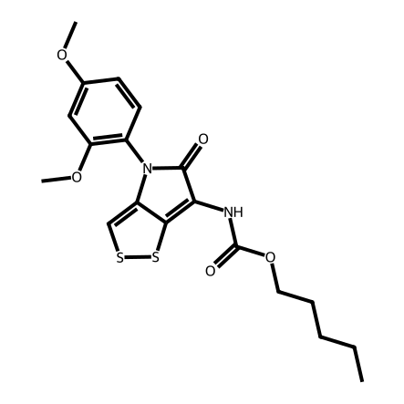 CCCCCOC(=O)Nc1c2sscc-2n(-c2ccc(OC)cc2OC)c1=O